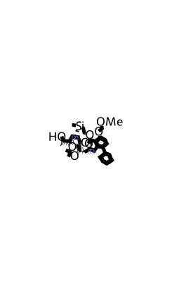 COCOc1ccc(-c2ccccc2)c(/C=C/C[C@@H]2OC(C)(C)O[C@@H]2C(O)/C=C\[C@@H](C)[C@H](C)O)c1C(=O)OCC[Si](C)(C)C